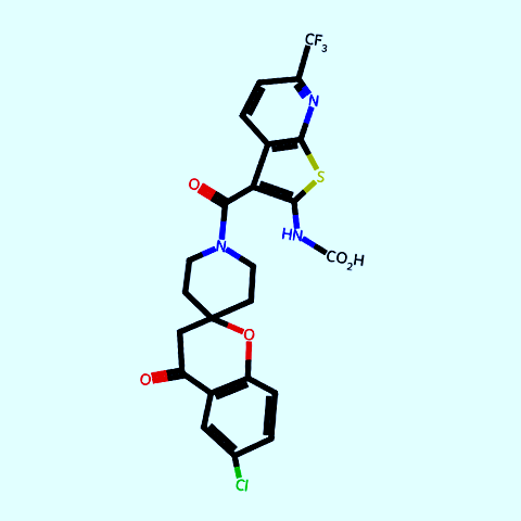 O=C(O)Nc1sc2nc(C(F)(F)F)ccc2c1C(=O)N1CCC2(CC1)CC(=O)c1cc(Cl)ccc1O2